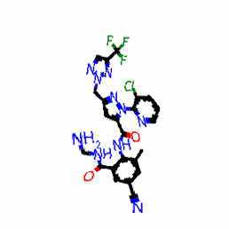 Cc1cc(C#N)cc(C(=O)NCN)c1NC(=O)c1cc(Cn2ncc(C(F)(F)F)n2)nn1-c1ncccc1Cl